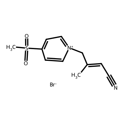 C/C(=C\C#N)C[n+]1ccc(S(C)(=O)=O)cc1.[Br-]